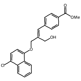 COC(=O)c1ccc(C=C(CO)COc2ccc(Cl)c3ccccc23)cc1